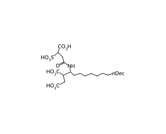 CCCCCCCCCCCCCCCCCC(NC(=O)CC(C(=O)O)S(=O)(=O)O)C(CC(=O)O)C(=O)O